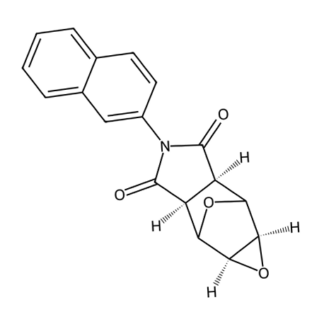 O=C1[C@@H]2C3OC([C@H]4O[C@@H]34)[C@@H]2C(=O)N1c1ccc2ccccc2c1